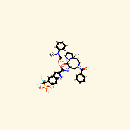 CN(C(=O)[C@@H]1CC[C@@H]2CCN(C(=O)c3ccccc3)C[C@H](NC(=O)c3cc4cc(C(F)(F)P(=O)(O)O)ccc4[nH]3)C(=O)N21)c1ccccc1